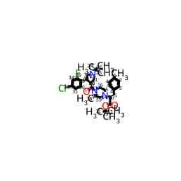 Cc1ccc(C[C@@H](C(=O)OC(C)(C)C)N2CCN(C(=O)[C@@H]3CN(C(C)(C)C)C[C@H]3c3ccc(Cl)cc3F)[C@@H](C)C2)cc1